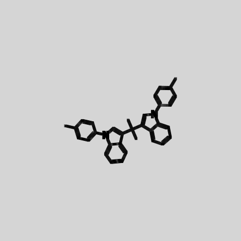 Cc1ccc(-n2cc(C(C)(C)c3cn(-c4ccc(C)cc4)c4ccccc34)c3ccccc32)cc1